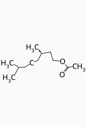 CC(=O)OCC[C@H](C)CCCC(C)C